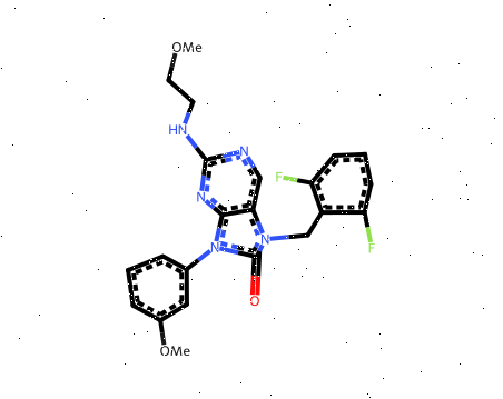 COCCNc1ncc2c(n1)n(-c1cccc(OC)c1)c(=O)n2Cc1c(F)cccc1F